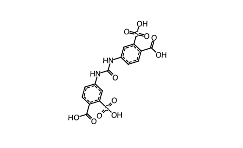 O=C(Nc1ccc(C(=O)O)c(S(=O)(=O)O)c1)Nc1ccc(C(=O)O)c(S(=O)(=O)O)c1